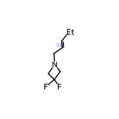 CC/C=C/CN1CC(F)(F)C1